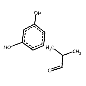 CC(C)C=O.Oc1cccc(O)c1